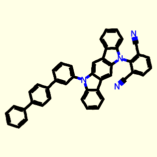 N#Cc1cccc(C#N)c1-n1c2ccccc2c2cc3c(cc21)c1ccccc1n3-c1cccc(-c2ccc(-c3ccccc3)cc2)c1